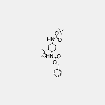 COC(C)[C@@H]1C[C@H](NC(=O)OC(C)(C)C)CC[C@@H]1NC(=O)OCc1ccccc1